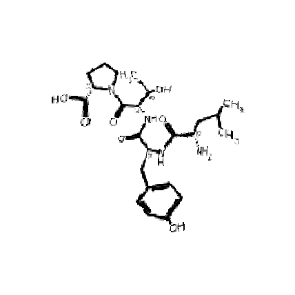 CC(C)C[C@H](N)C(=O)N[C@@H](Cc1ccc(O)cc1)C(=O)N[C@H](C(=O)N1CCC[C@H]1C(=O)O)[C@@H](C)O